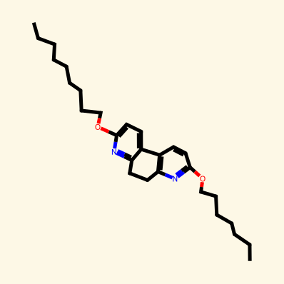 CCCCCCCCCOc1ccc2c(n1)CCc1nc(OCCCCCCC)ccc1-2